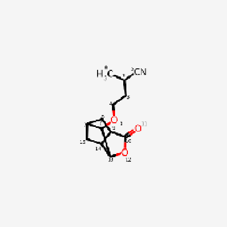 CC(C#N)CCOC1C2CC3C(=O)OC1C3C2